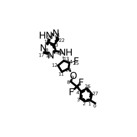 Cc1ccc(C(F)(F)CO[C@H]2CC[C@H](Nc3ncnc4[nH]ncc34)[C@@H]2F)cc1